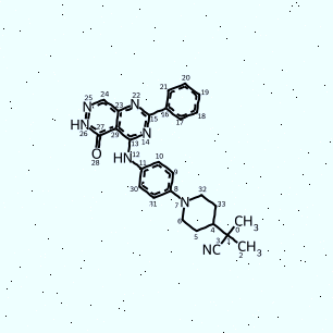 CC(C)(C#N)C1CCN(c2ccc(Nc3nc(-c4ccccc4)nc4cn[nH]c(=O)c34)cc2)CC1